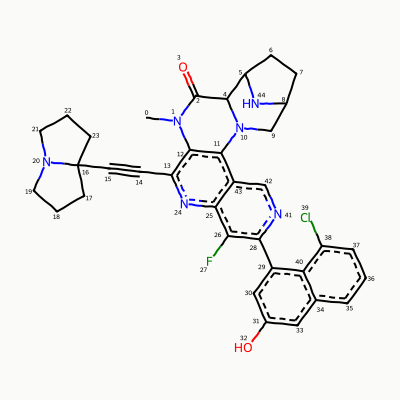 CN1C(=O)C2C3CCC(CN2c2c1c(C#CC14CCCN1CCC4)nc1c(F)c(-c4cc(O)cc5cccc(Cl)c45)ncc21)N3